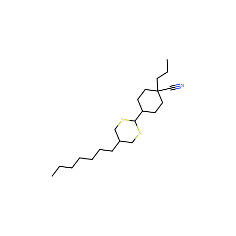 CCCCCCCC1CSC(C2CCC(C#N)(CCC)CC2)SC1